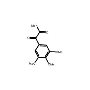 CNC(=O)C(=O)c1cc(OC)c(OC)c(OC)c1